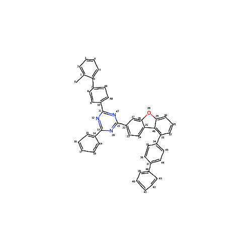 Cc1ccccc1-c1ccc(-c2nc(-c3ccccc3)nc(-c3ccc4c(c3)oc3cccc(-c5ccc(-c6ccccc6)cc5)c34)n2)cc1